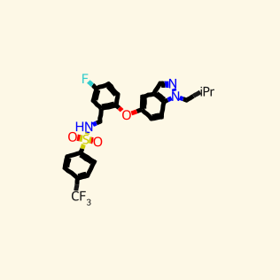 CC(C)Cn1ncc2cc(Oc3ccc(F)cc3CNS(=O)(=O)c3ccc(C(F)(F)F)cc3)ccc21